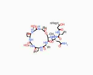 CCCCCCC[C@@H](O)CC(=O)N[C@@H](CC(C)C)C(=O)N[C@H](CCC(N)=O)C(=O)N[C@H]1C(=O)N[C@H](C(C)C)C(=O)N[C@@H](CC(C)C)C(=O)N[C@H](CO)C(=O)N[C@@H](CC(C)C)C(=O)N[C@H](CO)C(=O)N[C@@H]([C@@H](C)CC)C(=O)O[C@@H]1C